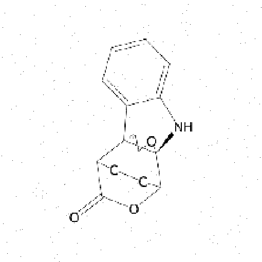 O=C1OC2CCC1[C@]13CCO[C@]21Nc1ccccc13